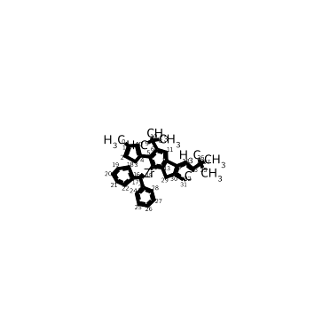 CC1=CCC(c2c(C(C)(C)C)cc3c([c]2[Zr]=[C](c2ccccc2)c2ccccc2)Cc2ccc(C(C)(C)C)cc2-3)=C1